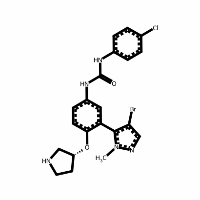 Cn1ncc(Br)c1-c1cc(NC(=O)Nc2ccc(Cl)cc2)ccc1O[C@@H]1CCNC1